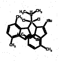 Cc1ccc(C)c2c1C=C(C(C)(C)C)[CH]2[Zr]([Cl])([Cl])([CH]1C(C(C)(C)C)=Cc2c(C)ccc(C)c21)[SiH](C)C